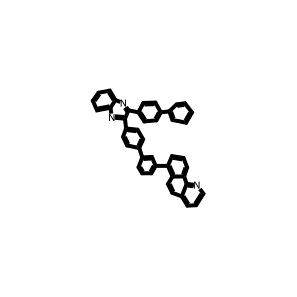 c1ccc(-c2ccc(-c3nc4ccccc4nc3-c3ccc(-c4cccc(-c5cccc6c5ccc5cccnc56)c4)cc3)cc2)cc1